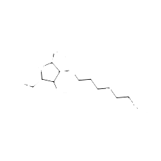 B[C@@H]1O[C@H](CO)C(O)[C@@H]1OCCCCCCN